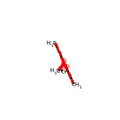 CCCCCCCCC=CCCCCCCCC(=O)OCC(COC(=O)CCCCCCCC=CCCCCCCCC)OC(=O)CCCN(CCC)CCC